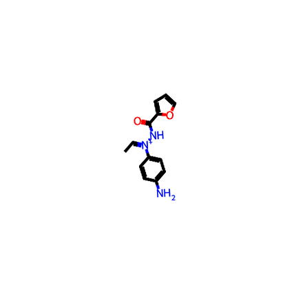 C/C=[N+](/NC(=O)c1ccco1)c1ccc(N)cc1